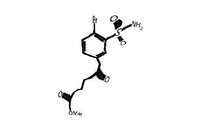 COC(=O)CCC(=O)c1ccc(Br)c(S(N)(=O)=O)c1